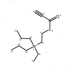 C#CC(=O)SCC[N+](CC)(CCC)CCC